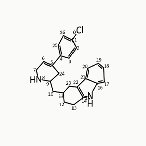 Clc1ccc(C2=CCNC(CC3CCc4[nH]c5ccccc5c4C3)C2)cc1